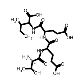 CCC(C)C(NC(=O)C(CCC(=O)O)NC(=O)C(CCC(=O)O)NC(=O)[C@@H](N)C(C)O)C(=O)O